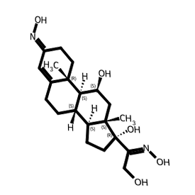 C[C@]12CCC(=NO)C=C1CC[C@@H]1[C@@H]2[C@@H](O)C[C@@]2(C)[C@H]1CC[C@]2(O)C(CO)=NO